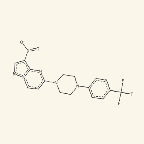 O=[N+]([O-])c1cnn2ccc(N3CCN(c4ccc(C(F)(F)F)cc4)CC3)nc12